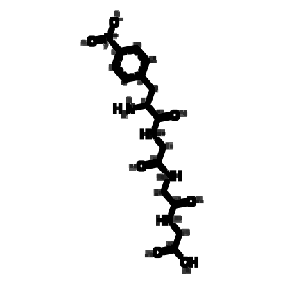 NC(Cc1ccc([N+](=O)[O-])cc1)C(=O)NCC(=O)NCC(=O)NCC(=O)O